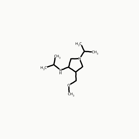 COCC1CN(C(C)C)CC1NC(C)C